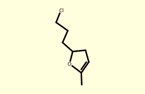 CC1=CCC(CCCCl)O1